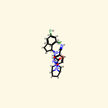 N#Cc1ccc(N2C3CCC2CN(C(=O)CNC2CCc4cc(F)cc(F)c42)C3)nc1